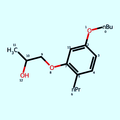 CCCCOc1ccc(CCC)c(OCC(C)O)c1